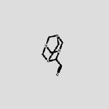 O=CC1N2CN3CN(C2)CN1C3